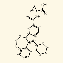 O=C(NC1(C(=O)O)CC1)c1ccc2c(C3CCCCC3)c3n(c2c1)CCOc1ccccc1-3